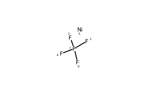 F[P](F)(F)F.[Ni]